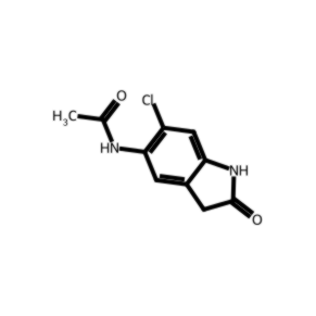 CC(=O)Nc1cc2c(cc1Cl)NC(=O)C2